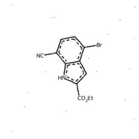 CCOC(=O)c1cc2c(Br)ccc(C#N)c2[nH]1